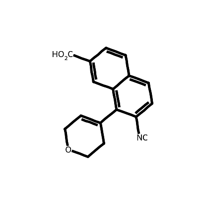 [C-]#[N+]c1ccc2ccc(C(=O)O)cc2c1C1=CCOCC1